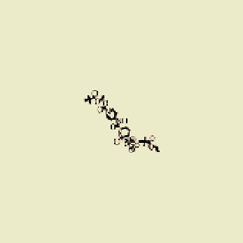 CCOC(=O)C(C)(C)COS(=O)(=O)ON1C(=O)N2CC1CC[C@H]2C(=O)NC1CCN(C(=O)OC(C)OC(=O)C(C)(C)C)CC1